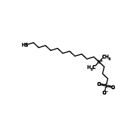 C[N+](C)(CCCCCCCCCCCS)CCCS(=O)(=O)[O-]